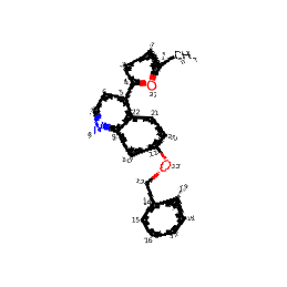 Cc1ccc(-c2ccnc3cc(OCc4ccccc4)ccc23)o1